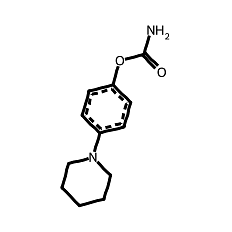 NC(=O)Oc1ccc(N2CCCCC2)cc1